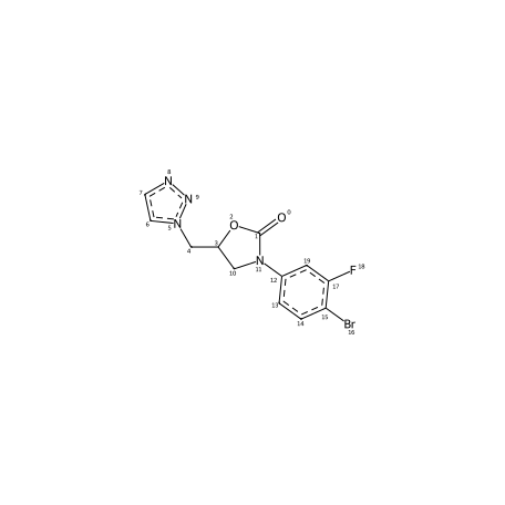 O=C1OC(Cn2ccnn2)CN1c1ccc(Br)c(F)c1